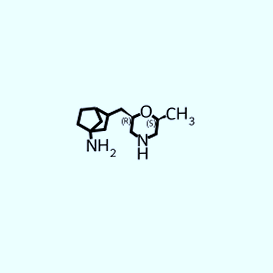 C[C@H]1CNC[C@@H](CC2CC3(N)CCC2C3)O1